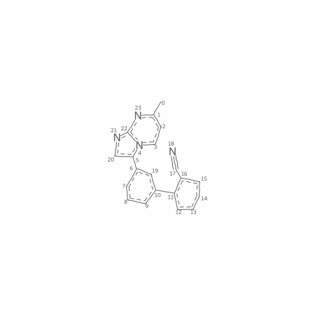 Cc1ccn2c(-c3cccc(-c4ccccc4C#N)c3)cnc2n1